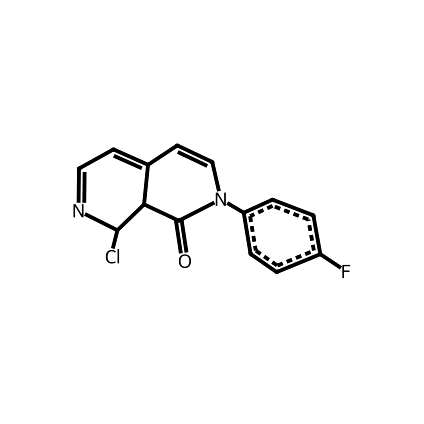 O=C1C2C(=CC=NC2Cl)C=CN1c1ccc(F)cc1